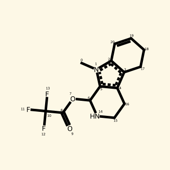 Cn1c2c(c3c1C(OC(=O)C(F)(F)F)NCC3)CCC=C2